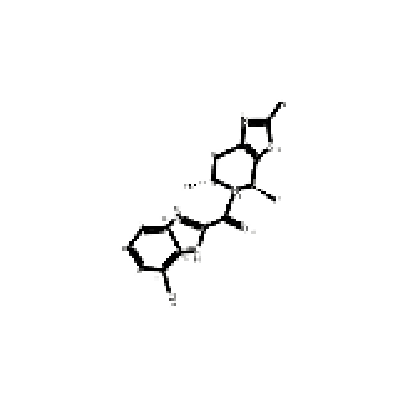 Cc1nc2c(s1)[C@@H](C)N(C(=O)c1nc3cccc(Cl)c3[nH]1)[C@H](C)C2